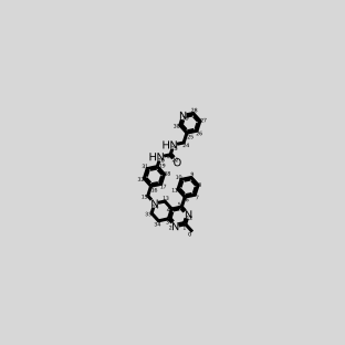 Cc1nc2c(c(-c3ccccc3)n1)CN(Cc1ccc(NC(=O)NCc3cccnc3)cc1)CC2